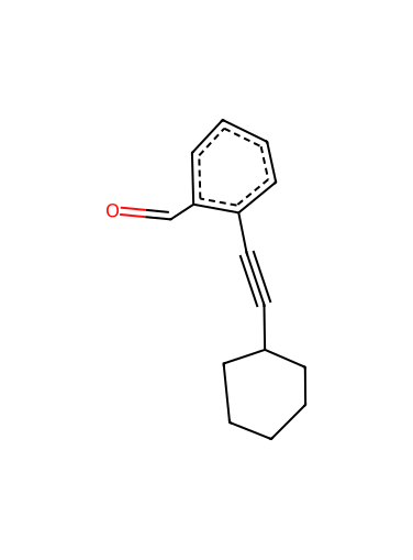 O=Cc1ccccc1C#CC1CCCCC1